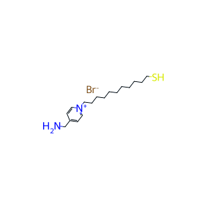 NCc1cc[n+](CCCCCCCCCCCS)cc1.[Br-]